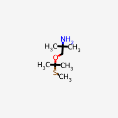 CSC(C)(C)OCC(C)(C)N